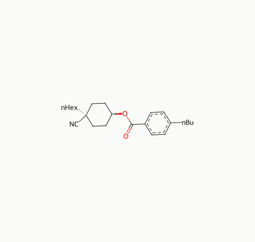 CCCCCC[C@]1(C#N)CC[C@@H](OC(=O)c2ccc(CCCC)cc2)CC1